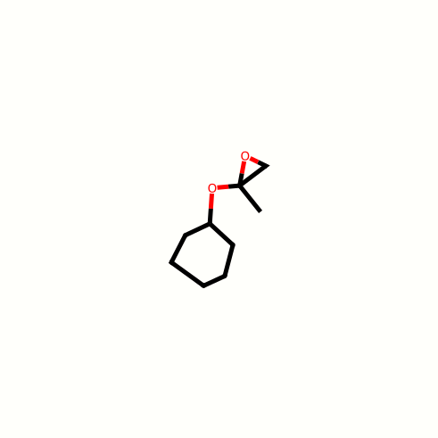 CC1(OC2CCCCC2)CO1